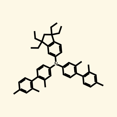 CCC1(CC)CC(CC)(CC)c2cc(N(c3ccc(-c4ccc(C)cc4C)c(C)c3)c3ccc(-c4ccc(C)cc4C)c(C)c3)ccc21